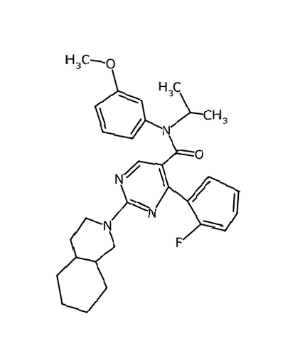 COc1cccc(N(C(=O)c2cnc(N3CCC4CCCCC4C3)nc2-c2ccccc2F)C(C)C)c1